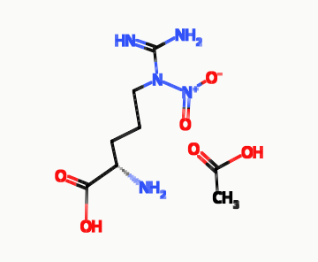 CC(=O)O.N=C(N)N(CCC[C@H](N)C(=O)O)[N+](=O)[O-]